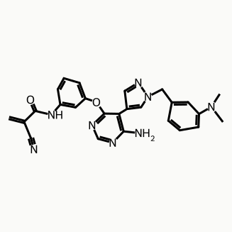 C=C(C#N)C(=O)Nc1cccc(Oc2ncnc(N)c2-c2cnn(Cc3cccc(N(C)C)c3)c2)c1